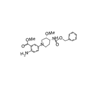 COC(=O)c1cc(N2CC[C@@H](NC(=O)OCc3ccccc3)[C@@H](OC)C2)ccc1N